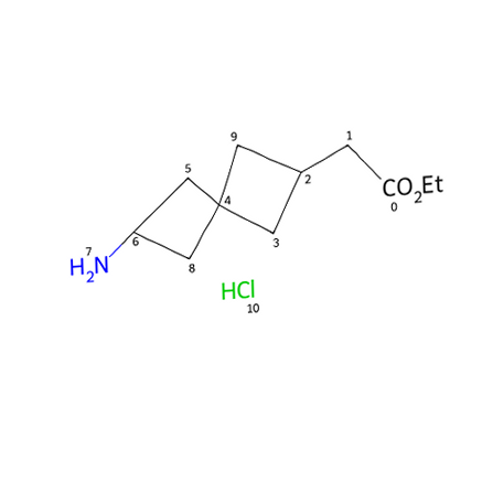 CCOC(=O)CC1CC2(CC(N)C2)C1.Cl